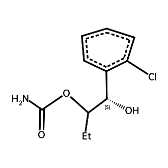 CCC(OC(N)=O)[C@@H](O)c1ccccc1Cl